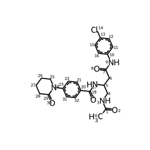 CC(=O)NCC(CC(=O)Nc1ccc(Cl)cc1)NC(=O)c1ccc(N2CCCCC2=O)cc1